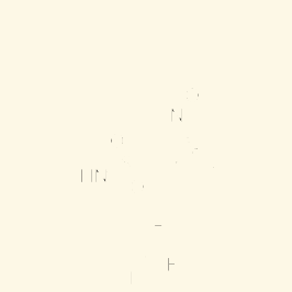 CCCCON=C1CC2CCC1(CS(=O)(=O)Nc1cccc(C(F)(F)F)c1)C2(C)C